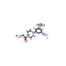 CC(C)(C)c1cc(N)cc(N2CCN(C(=O)CC(F)(F)F)CC2)c1